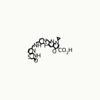 O=C1CSc2ccc(CNCC3CCN(Cc4nc5c(cc4F)c(=O)c(C(=O)O)cn5C4CC4)CC3)nc2N1